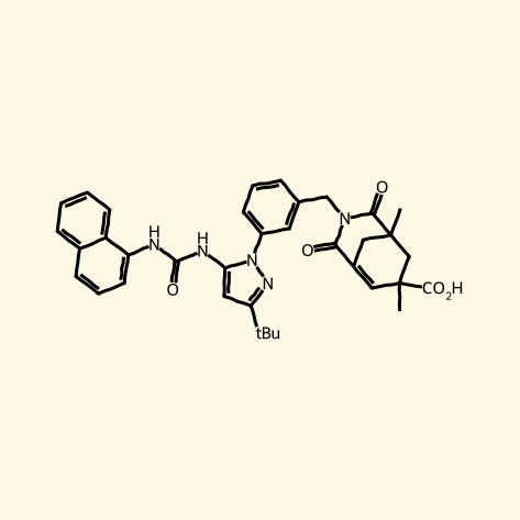 CC1(C(=O)O)C=C2CC(C)(C1)C(=O)N(Cc1cccc(-n3nc(C(C)(C)C)cc3NC(=O)Nc3cccc4ccccc34)c1)C2=O